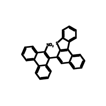 O=[N+]([O-])c1c(-c2cc3ccccc3c3c2sc2ccccc23)c2ccccc2c2ccccc12